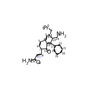 CC(C)CN1C=C2C=CC(/C=C/C(N)=O)C(=O)C2=C(c2ccccc2)C1CN